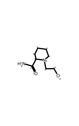 NC(=O)C1CCCCN1CC[O]